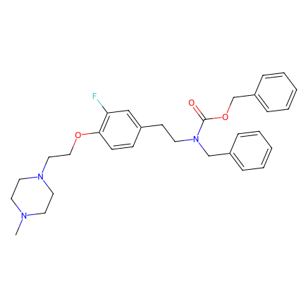 CN1CCN(CCOc2ccc(CCN(Cc3ccccc3)C(=O)OCc3ccccc3)cc2F)CC1